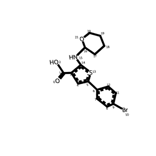 O=C(O)c1cc(-c2ccc(Br)cc2)sc1NC1CCCCO1